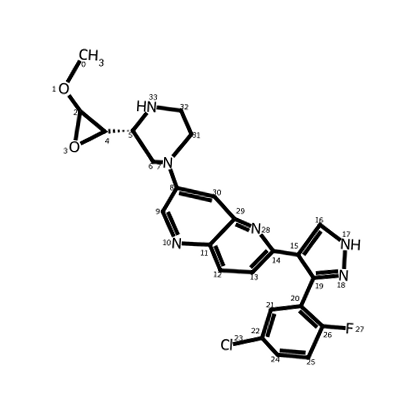 COC1OC1[C@H]1CN(c2cnc3ccc(-c4c[nH]nc4-c4cc(Cl)ccc4F)nc3c2)CCN1